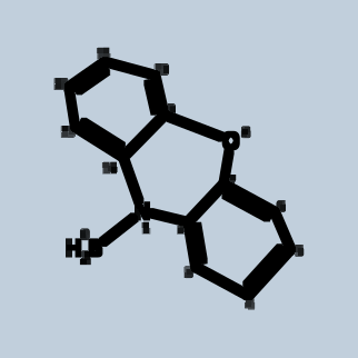 BN1c2ccccc2Oc2ccccc21